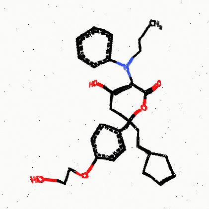 CCCN(C1=C(O)CC(CCC2CCCC2)(c2ccc(OCCO)cc2)OC1=O)c1ccccc1